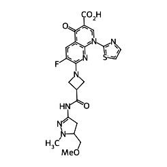 COCC1CC(NC(=O)C2CN(c3nc4c(cc3F)c(=O)c(C(=O)O)cn4-c3nccs3)C2)=NN1C